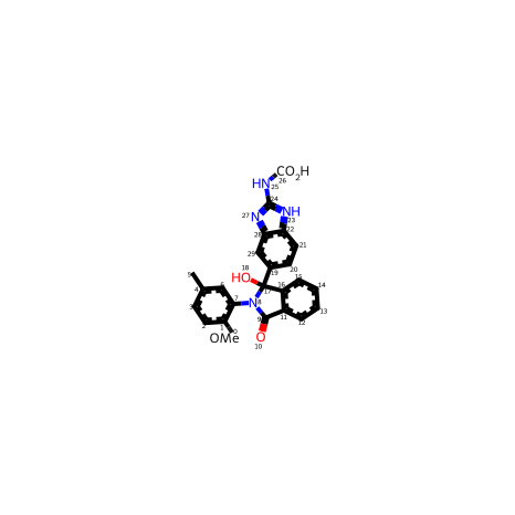 COc1ccc(C)cc1N1C(=O)c2ccccc2C1(O)c1ccc2[nH]c(NC(=O)O)nc2c1